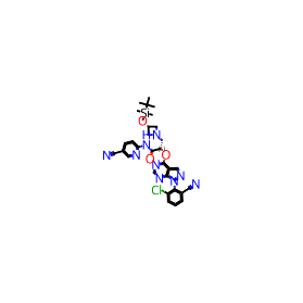 CC(C)(C)[Si](C)(C)OC1CN(C[C@H](Oc2ncnc3c2cnn3-c2c(Cl)cccc2C#N)C(=O)Nc2ccc(C#N)cn2)C1